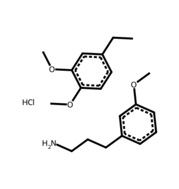 CCc1ccc(OC)c(OC)c1.COc1cccc(CCCN)c1.Cl